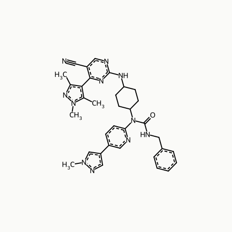 Cc1nn(C)c(C)c1-c1nc(NC2CCC(N(C(=O)NCc3ccccc3)c3ccc(-c4cnn(C)c4)cn3)CC2)ncc1C#N